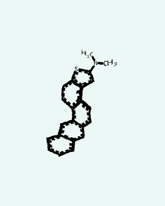 CN(C)c1cc2c(ccc3c4cc5ccccc5cc4ccc23)s1